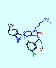 N#Cc1ccc2ncn(-c3ncc4c(n3)n([C@@H]3CCOc5c(F)ccc(F)c53)c(=O)n4CCCN)c2c1